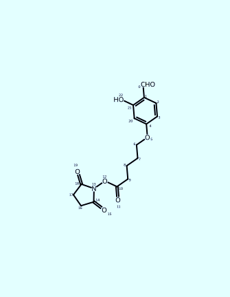 O=Cc1ccc(OCCCCC(=O)ON2C(=O)CCC2=O)cc1O